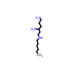 CCCCCCNCCC(N)CCCN